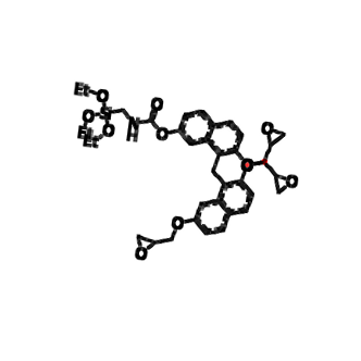 CCO[Si](CNC(=O)Oc1ccc2ccc(OCC3CO3)c(Cc3c(OCC4CO4)ccc4ccc(OCC5CO5)cc34)c2c1)(OCC)OCC